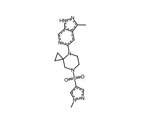 Cc1n[nH]c2cnc(N3CCN(S(=O)(=O)c4cnn(C)c4)CC34CC4)cc12